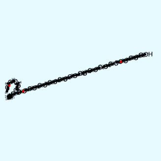 C=CCOCC(C)OCC(C)OCC(C)OCC(C)OC(COCCOCCOCCOCCOCCOCCOCCOCCOCCOCCOCCOCCOCCOCCOCCOCCOCCOCCOCCOCCOCCOCCOCCOCCOCCO)COc1ccccc1